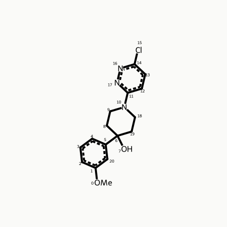 COc1cccc(C2(O)CCN(c3ccc(Cl)nn3)CC2)c1